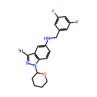 [2H]c1nn(C2CCCCO2)c2ccc(NCc3cc(F)cc(F)c3)cc12